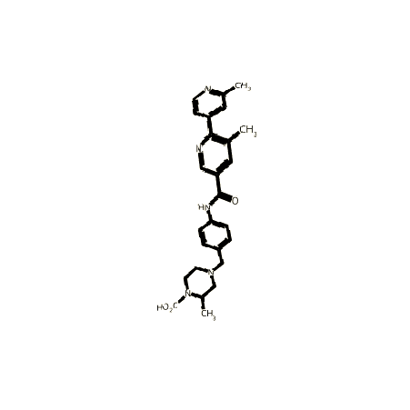 Cc1cc(-c2ncc(C(=O)Nc3ccc(CN4CCN(C(=O)O)C(C)C4)cc3)cc2C)ccn1